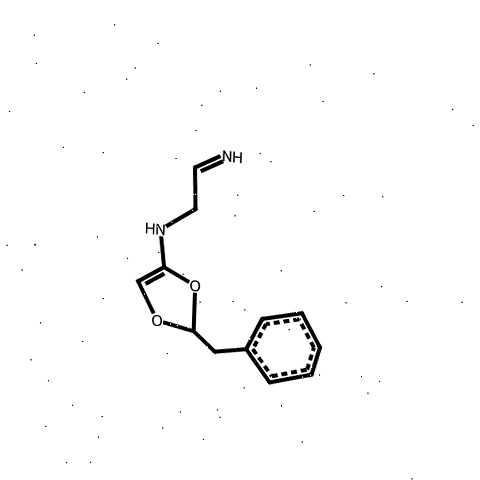 N=CCNC1=COC(Cc2ccccc2)O1